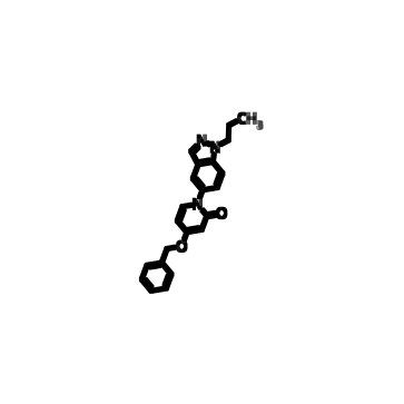 CCCn1ncc2cc(-n3ccc(OCc4ccccc4)cc3=O)ccc21